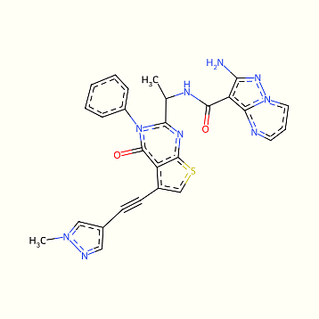 CC(NC(=O)c1c(N)nn2cccnc12)c1nc2scc(C#Cc3cnn(C)c3)c2c(=O)n1-c1ccccc1